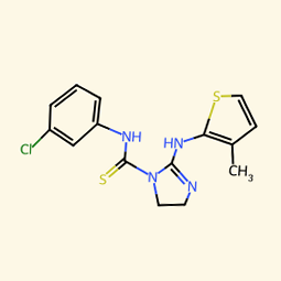 Cc1ccsc1NC1=NCCN1C(=S)Nc1cccc(Cl)c1